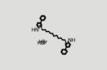 Br.Br.N=c1ccc(-c2ccccc2)cn1CCCCCCCCCCCCn1cc(-c2ccccc2)ccc1=N